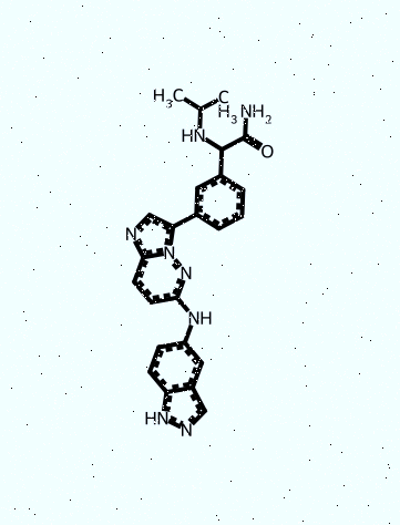 CC(C)NC(C(N)=O)c1cccc(-c2cnc3ccc(Nc4ccc5[nH]ncc5c4)nn23)c1